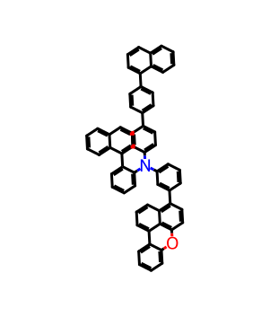 c1cc(-c2ccc3c4c(cccc24)-c2ccccc2O3)cc(N(c2ccc(-c3ccc(-c4cccc5ccccc45)cc3)cc2)c2ccccc2-c2cccc3ccccc23)c1